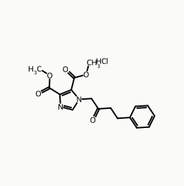 COC(=O)c1ncn(CC(=O)CCc2ccccc2)c1C(=O)OC.Cl